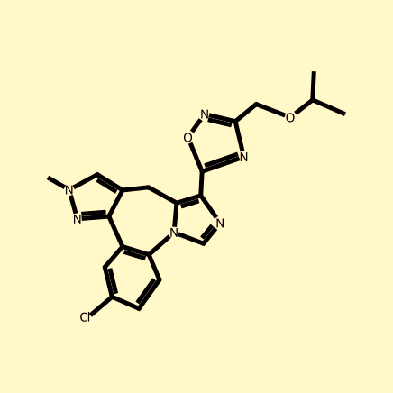 CC(C)OCc1noc(-c2ncn3c2Cc2cn(C)nc2-c2cc(Cl)ccc2-3)n1